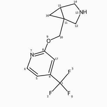 FC(F)(F)c1ccnc(OCC23CNCC2C3)c1